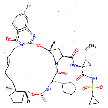 C=C[C@@H]1C[C@]1(NC(=O)[C@@H]1C[C@@H]2CN1C(=O)[C@H](C1CCCC1)NC(=O)O[C@@H]1CCC[C@H]1CC/C=C/Cn1c(nc3cc(Br)ccc3c1=O)O2)C(=O)NS(=O)(=O)C1CC1